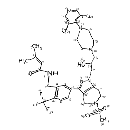 CC(C)=CC(=O)NCc1cc(-c2nn(CC(O)CN3CCN(c4c(Cl)cncc4Cl)CC3)c3c2CN(S(C)(=O)=O)CC3)ccc1C(F)(F)F